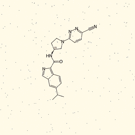 CC(C)C1=CC2C=NC(C(=O)N[C@H]3CCN(c4ccc(C#N)nn4)C3)=C2C=C1